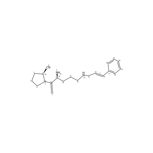 N#C[C@@H]1CCCN1C(=O)[C@@H](N)CCCNC/C=C/c1ccccc1